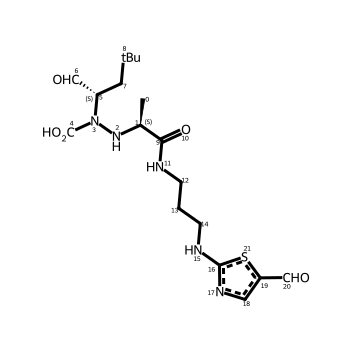 C[C@H](NN(C(=O)O)[C@H](C=O)CC(C)(C)C)C(=O)NCCCNc1ncc(C=O)s1